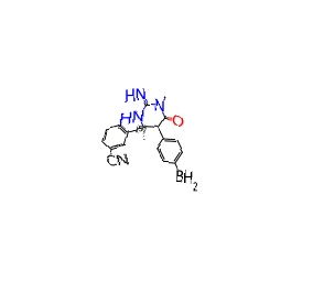 Bc1ccc(C2C(=O)N(C)C(=N)N[C@]2(C)c2cccc(C#N)c2)cc1